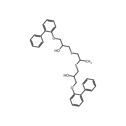 CC(CSCC(O)COc1ccccc1-c1ccccc1)SCC(O)COc1ccccc1-c1ccccc1